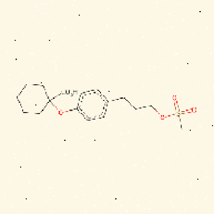 CS(=O)(=O)OCCCc1ccc(OC2(C(=O)O)CCCCC2)cc1